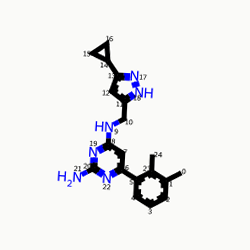 Cc1cccc(-c2cc(NCc3cc(C4CC4)n[nH]3)nc(N)n2)c1C